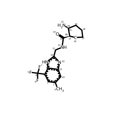 Cc1cc(C(F)(F)F)c2[nH]c(CNC(=O)[C@@H]3CCCC[C@@H]3N)nc2c1